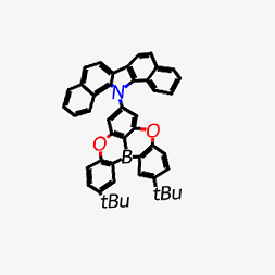 CC(C)(C)c1ccc2c(c1)B1c3cc(C(C)(C)C)ccc3Oc3cc(-n4c5c6ccccc6ccc5c5ccc6ccccc6c54)cc(c31)O2